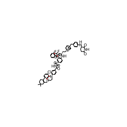 CC1(C)CCC(c2ccc(Cl)cc2)=C(CN2CCN(c3ccc(C(=O)NS(=O)(=O)c4ccc(N[C@H](CCN5CC6CCC5CN6Cc5ccc(NC6CCC(=O)NC6=O)cc5)CSc5ccccc5)c(S(=O)(=O)C(F)(F)F)c4)cc3)CC2)C1